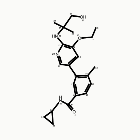 CCOc1cc(-c2cc(C(=O)NC3CC3)ccc2C)cnc1NC(C)(C)CO